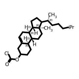 CC(C)CCC[C@@H](C)C1CC[C@H]2[C@@H]3CC=C4CC(OC(=O)Cl)CC[C@@H]4[C@H]3CC[C@]12C